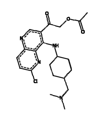 CC(=O)OCC(=O)c1cnc2ccc(Cl)nc2c1NC1CCC(CN(C)C)CC1